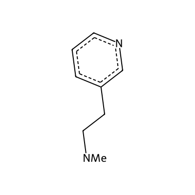 [CH2-][NH2+]CCc1cccnc1